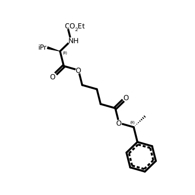 CCOC(=O)N[C@@H](C(=O)OCCCC(=O)O[C@H](C)c1ccccc1)C(C)C